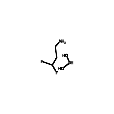 NCCC(F)F.OBO